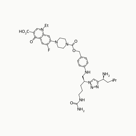 CCn1cc(C(=O)O)c(=O)c2cc(F)c(N3CCN(C(=O)OCc4ccc(NC[C@H](CCCNC(N)=O)n5cc([C@@H](N)CC(C)C)nn5)cc4)CC3)cc21